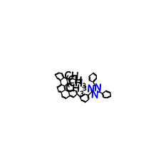 CC1(C)c2ccccc2-c2ccc3ccc4cc(-c5cccc(-c6nc(-c7ccccc7)nc(-c7ccccc7)n6)c5)ccc4c3c2C1(C)C